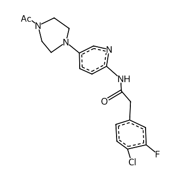 CC(=O)N1CCN(c2ccc(NC(=O)Cc3ccc(Cl)c(F)c3)nc2)CC1